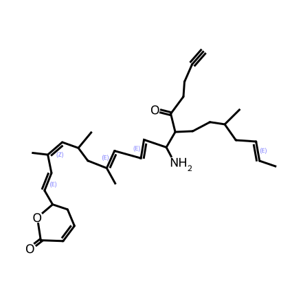 C#CCCC(=O)C(CCC(C)C/C=C/C)C(N)/C=C/C=C(\C)CC(C)/C=C(C)\C=C\C1CC=CC(=O)O1